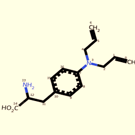 C=CCN(CC=C)c1ccc(CC(N)C(=O)O)cc1